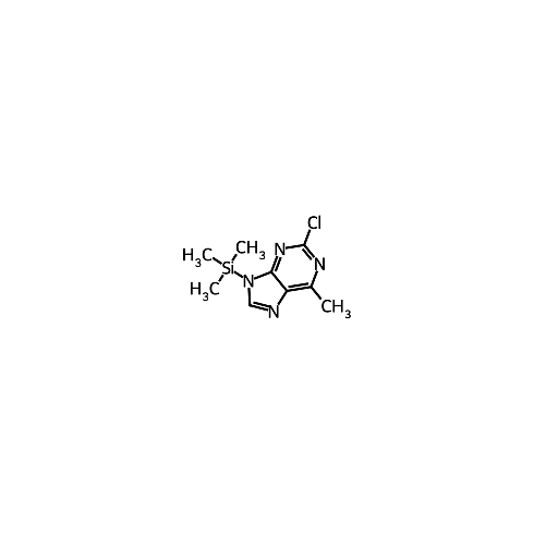 Cc1nc(Cl)nc2c1ncn2[Si](C)(C)C